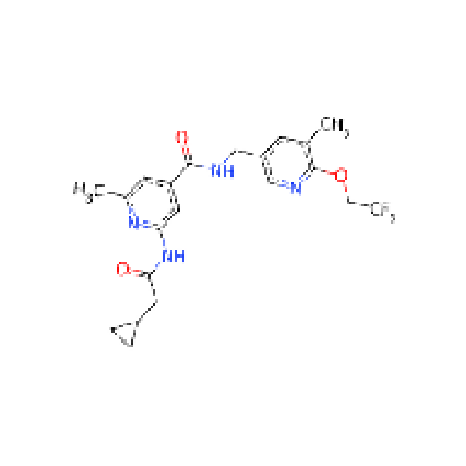 Cc1cc(C(=O)NCc2cnc(OCC(F)(F)F)c(C)c2)cc(NC(=O)CC2CC2)n1